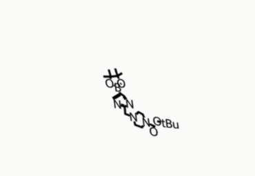 CC(C)(C)OC(=O)N1CCN(Cc2ncc(B3OC(C)(C)C(C)(C)O3)cn2)CC1